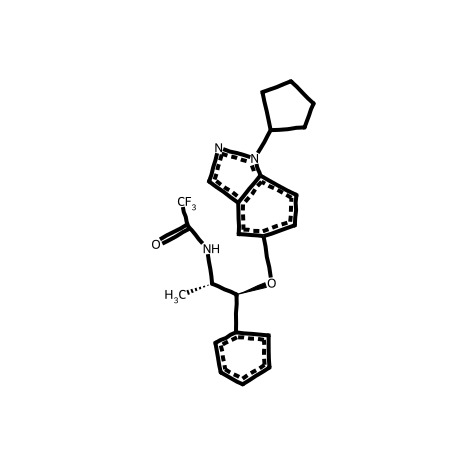 C[C@H](NC(=O)C(F)(F)F)[C@@H](Oc1ccc2c(cnn2C2CCCC2)c1)c1ccccc1